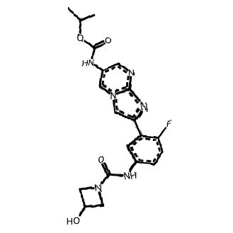 CC(C)OC(=O)Nc1cnc2nc(-c3cc(NC(=O)N4CC(O)C4)ccc3F)cn2c1